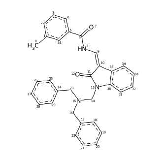 Cc1cccc(C(=O)N/C=C2\C(=O)N(CN(Cc3ccccc3)Cc3ccccc3)c3ccccc32)c1